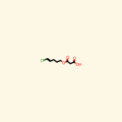 O=C(O)CC(=O)OCCCC=CCl